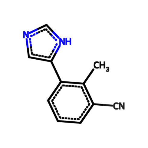 Cc1c(C#N)cccc1-c1cnc[nH]1